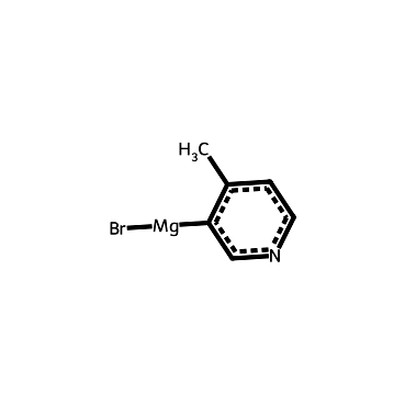 Cc1ccnc[c]1[Mg][Br]